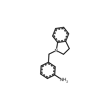 Nc1cccc(CN2CCc3ccccc32)c1